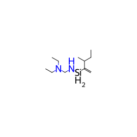 C=C([SiH2]NCN(CC)CC)C(C)CC